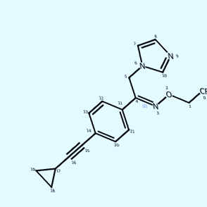 FC(F)(F)CO/N=C(\Cn1ccnc1)c1ccc(C#CC2CC2)cc1